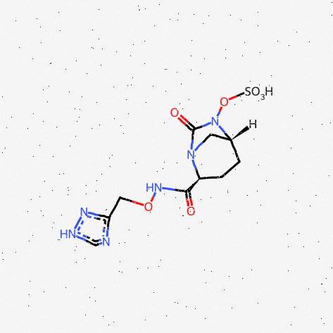 O=C(NOCc1nc[nH]n1)[C@@H]1CC[C@@H]2CN1C(=O)N2OS(=O)(=O)O